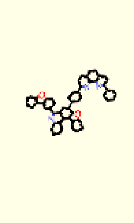 c1ccc(-c2ccc3ccc4ccc(-c5ccc(-c6cc7c(-c8ccc9oc%10ccccc%10c9c8)nc8ccccc8c7c7c6oc6ccccc67)cc5)nc4c3n2)cc1